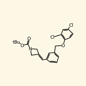 CC(C)(C)OC(=O)N1CC(=Cc2cccc(COc3ccc(Cl)cc3Cl)c2)C1